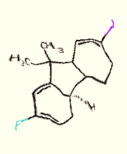 CC1(C)C2=CC(F)=CC[C@@H]2C2CCC(I)=CC21